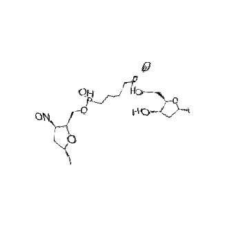 O=N[C@@H]1C[C@H](I)O[C@@H]1CO[PH](=O)CCCC[PH](=O)OC[C@H]1O[C@@H](I)C[C@H]1O